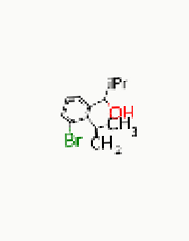 C=C(C)c1c(Br)cccc1C(O)C(C)C